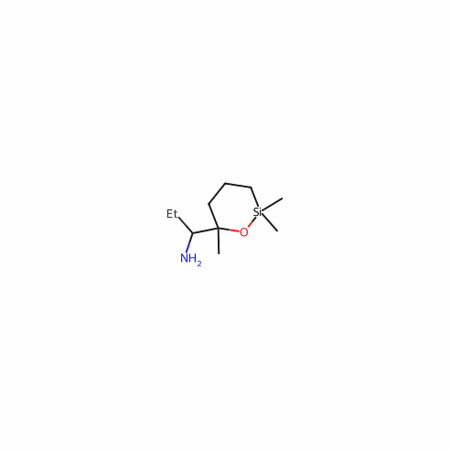 CCC(N)C1(C)CCC[Si](C)(C)O1